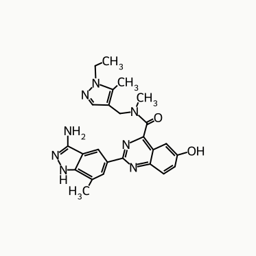 CCn1ncc(CN(C)C(=O)c2nc(-c3cc(C)c4[nH]nc(N)c4c3)nc3ccc(O)cc23)c1C